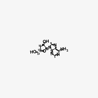 Nc1ncnc2c1ncn2[C@@H]1O[C@H](CO)C[C@@H]1O